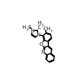 Cc1ccc2c(oc3nc4ccccc4cc32)c1N1C=CN(C)[C@@H]1C